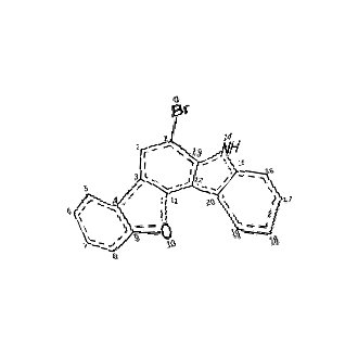 Brc1cc2c3ccccc3oc2c2c1[nH]c1ccccc12